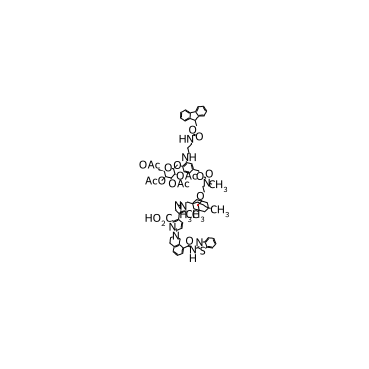 CC(=O)OC[C@H]1O[C@@H](Oc2ccc(COC(=O)N(C)CCOC34CC5(C)CC(C)(CC(Cn6ncc(-c7ccc(N8CCc9cccc(C(=O)Nc%10nc%11ccccc%11s%10)c9C8)nc7C(=O)O)c6C)(C5)C3)C4)cc2NCCCNC(=O)OCC2c3ccccc3-c3ccccc32)[C@H](OC(C)=O)[C@@H](OC(C)=O)[C@H]1OC(C)=O